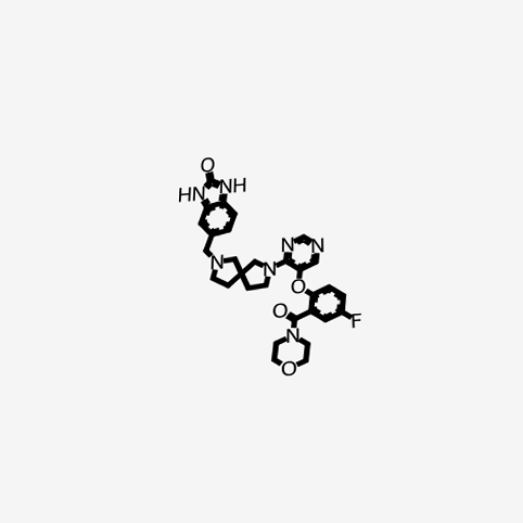 O=C(c1cc(F)ccc1Oc1cncnc1N1CCC2(CCN(Cc3ccc4[nH]c(=O)[nH]c4c3)C2)C1)N1CCOCC1